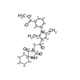 COC(=O)c1cccc(-n2c(C)cc(C(=O)CN3C(=O)NC4(CCCCC4)C3=O)c2C)c1